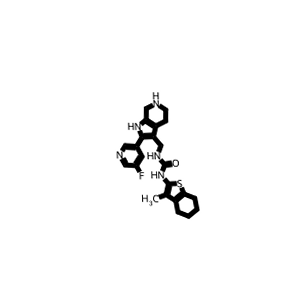 Cc1c(NC(=O)NCc2c(-c3cncc(F)c3)[nH]c3c2CCNC3)sc2c1CCCC2